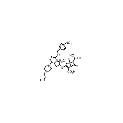 C[C@@H](O)[C@H]1C(=O)N2C(C(=O)O)=C(S[C@H]3C[C@@H](C(=O)N4CCN(CCO)CC4)N(C(=O)OCc4ccc([N+](=O)[O-])cc4)C3)[C@H](C)[C@H]12